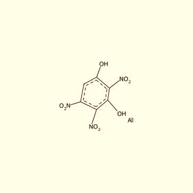 O=[N+]([O-])c1cc(O)c([N+](=O)[O-])c(O)c1[N+](=O)[O-].[Al]